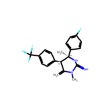 C=C1[C@@H](c2ccc(C(F)(F)F)cc2)[C@@](C)(c2ccc(F)cc2)NC(=N)N1C